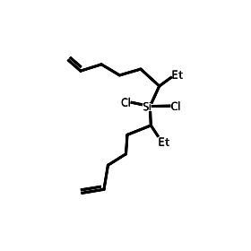 C=CCCCC(CC)[Si](Cl)(Cl)C(CC)CCCC=C